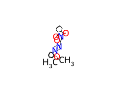 CC(C)Oc1ccccc1N1CCN(CC(=O)CN2C(=O)C3CC=CCC3C2=O)CC1